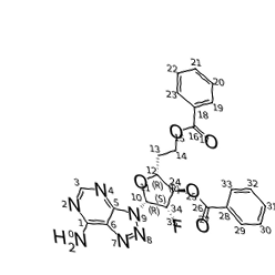 Nc1ncnc2c1nnn2[C@@H]1O[C@H](CCOC(=O)c2ccccc2)[C@@H](OC(=O)c2ccccc2)[C@@H]1F